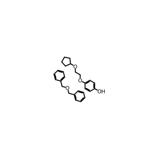 Oc1ccc(OCCOC2CCCC2)cc1.c1ccc(COCc2ccccc2)cc1